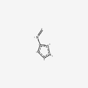 C=Nc1ccns1